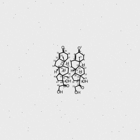 C[C@]12CCC(=O)C=C1CC[C@@H]1[C@@H]2CC[C@@]2(C)[C@H]1CC[C@]2(O)C(=O)CO.C[C@]12CCC(=O)C=C1CC[C@@H]1[C@@H]2CC[C@@]2(C)[C@H]1CC[C@]2(O)C(=O)CO